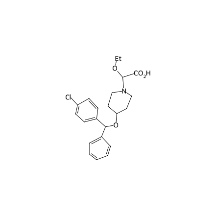 CCOC(C(=O)O)N1CCC(OC(c2ccccc2)c2ccc(Cl)cc2)CC1